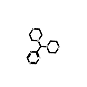 c1ncnc(C(N2CCOCC2)N2CCOCC2)n1